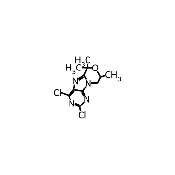 CC1Cn2c(nc3c(Cl)nc(Cl)nc32)C(C)(C)O1